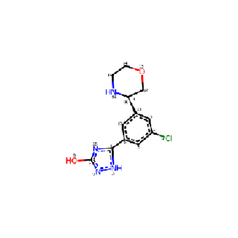 Oc1n[nH]c(-c2cc(Cl)cc([C@@H]3COCCN3)c2)n1